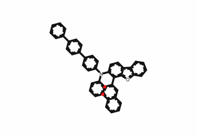 c1ccc(-c2ccc(-c3ccc(N(c4ccccc4)c4ccc5c(oc6ccccc65)c4-c4ccc5ccccc5c4)cc3)cc2)cc1